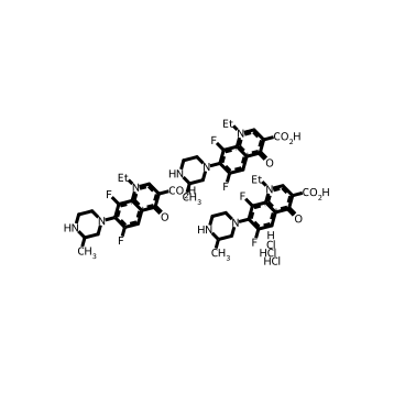 CCn1cc(C(=O)O)c(=O)c2cc(F)c(N3CCNC(C)C3)c(F)c21.CCn1cc(C(=O)O)c(=O)c2cc(F)c(N3CCNC(C)C3)c(F)c21.CCn1cc(C(=O)O)c(=O)c2cc(F)c(N3CCNC(C)C3)c(F)c21.Cl.Cl.Cl